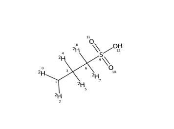 [2H]C([2H])C([2H])([2H])C([2H])([2H])S(=O)(=O)O